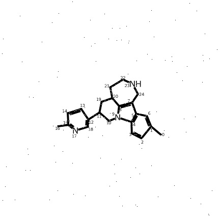 Cc1ccc2c(c1)c1c3n2CC(c2ccc(C)nc2)CC3CCNC1